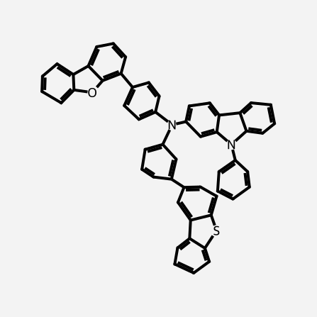 c1ccc(-n2c3ccccc3c3ccc(N(c4ccc(-c5cccc6c5oc5ccccc56)cc4)c4cccc(-c5ccc6sc7ccccc7c6c5)c4)cc32)cc1